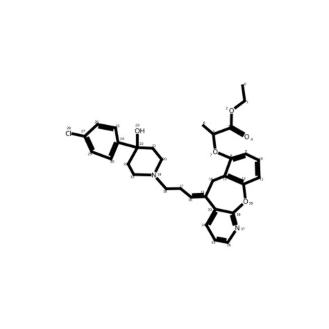 CCOC(=O)C(C)Oc1cccc2c1CC(=CCCN1CCC(O)(c3ccc(Cl)cc3)CC1)c1cccnc1O2